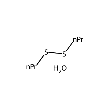 CCCSSCCC.O